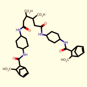 O=C(CC(C(=O)O)C(CC(=O)NC1CCC(NC(=O)C2C3C=CC(C3)C2C(=O)O)CC1)C(=O)O)NC1CCC(NC(=O)C2C3C=CC(C3)C2C(=O)O)CC1